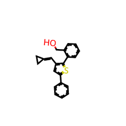 OCc1ccccc1-c1sc(-c2ccccc2)cc1C=C1CC1